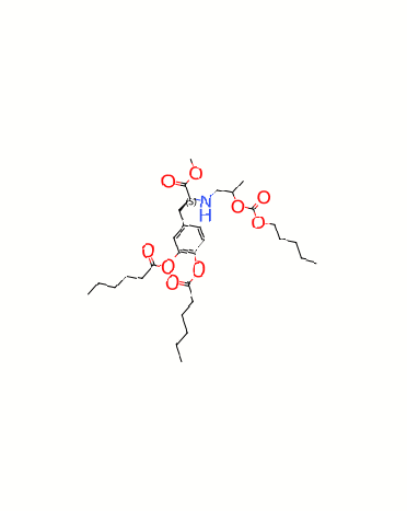 CCCCCOC(=O)OC(C)CN[C@@H](Cc1ccc(OC(=O)CCCCC)c(OC(=O)CCCCC)c1)C(=O)OC